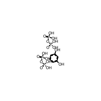 O=P(O)(O)OP(=O)(O)O.O=P(O)(O)OP(=O)(O)O.Oc1cccc(O)c1